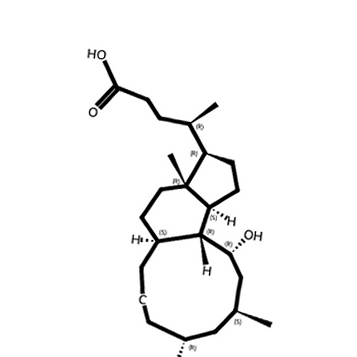 C[C@H]1C[C@H](O)CCC[C@H]2CC[C@]3(C)[C@@H]([C@H](C)CCC(=O)O)CC[C@H]3[C@@H]2[C@H](O)C1